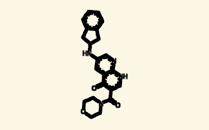 O=C(c1c[nH]c2ncc(NC3Cc4ccccc4C3)cc2c1=O)N1CCOCC1